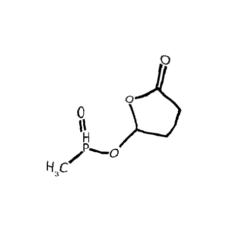 C[PH](=O)OC1CCC(=O)O1